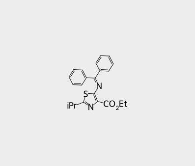 CCOC(=O)c1nc(C(C)C)sc1N=C(c1ccccc1)c1ccccc1